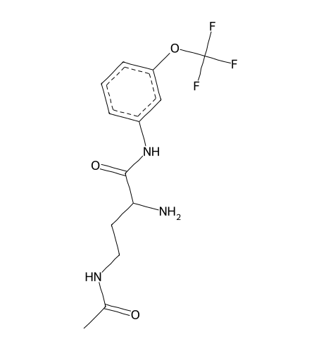 CC(=O)NCCC(N)C(=O)Nc1cccc(OC(F)(F)F)c1